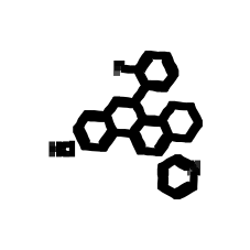 Cl.Fc1ccccc1-c1cc2ccccc2c2ccc3c(c12)CCCC3.c1ccncc1